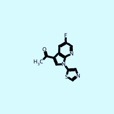 CC(=O)c1cn(-c2cncs2)c2ncc(F)cc12